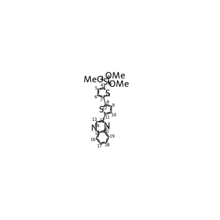 CO[Si](OC)(OC)c1ccc(-c2ccc(-c3cnc4ccccc4n3)s2)s1